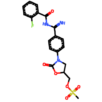 CS(=O)(=O)OCC1CN(c2ccc(C(=N)NC(=O)c3ccccc3F)cc2)C(=O)O1